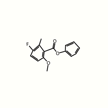 COc1ccc(F)c(C)c1C(=O)Oc1ccccc1